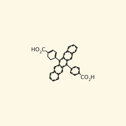 O=C(O)C1=CC=C(c2c3cc4ccccc4cc3c(-c3ccc(C(=O)O)cc3)c3cc4ccccc4cc23)CC1